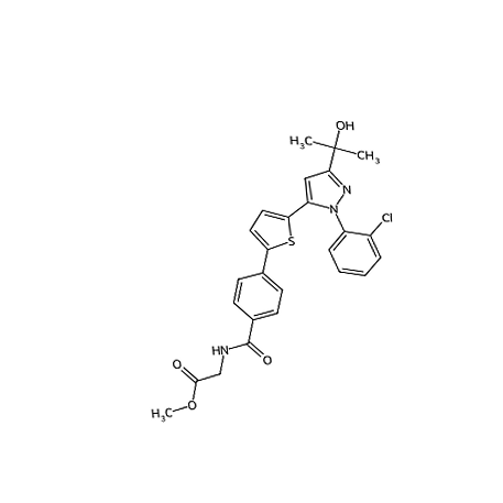 COC(=O)CNC(=O)c1ccc(-c2ccc(-c3cc(C(C)(C)O)nn3-c3ccccc3Cl)s2)cc1